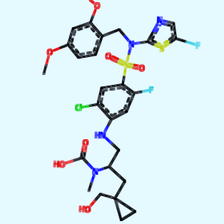 COc1ccc(CN(c2ncc(F)s2)S(=O)(=O)c2cc(Cl)c(NCC(CC3(CO)CC3)N(C)C(=O)O)cc2F)c(OC)c1